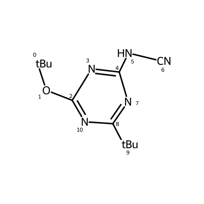 CC(C)(C)Oc1nc(NC#N)nc(C(C)(C)C)n1